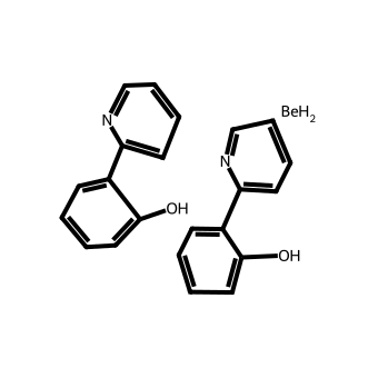 Oc1ccccc1-c1ccccn1.Oc1ccccc1-c1ccccn1.[BeH2]